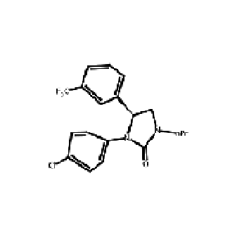 CCCN1C[C@H](c2cccc(C(F)(F)F)c2)N(c2ccc(Cl)cc2)C1=O